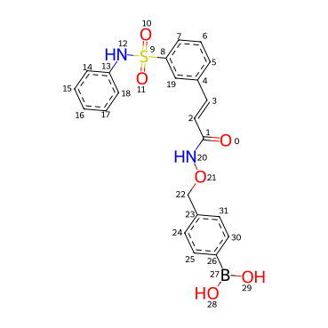 O=C(C=Cc1cccc(S(=O)(=O)Nc2ccccc2)c1)NOCc1ccc(B(O)O)cc1